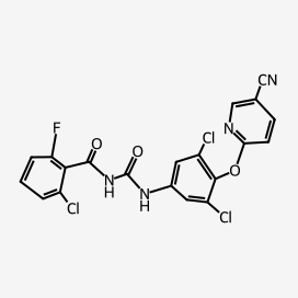 N#Cc1ccc(Oc2c(Cl)cc(NC(=O)NC(=O)c3c(F)cccc3Cl)cc2Cl)nc1